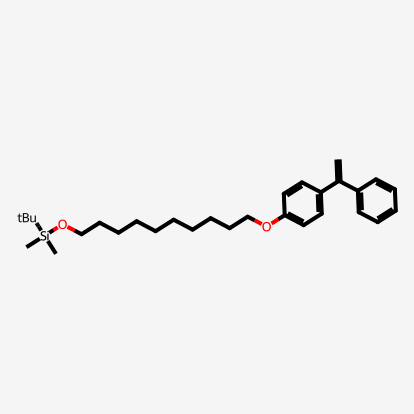 C=C(c1ccccc1)c1ccc(OCCCCCCCCCCO[Si](C)(C)C(C)(C)C)cc1